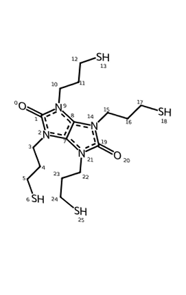 O=c1n(CCCS)c2c(n1CCCS)n(CCCS)c(=O)n2CCCS